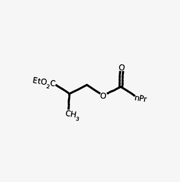 CCCC(=O)OCC(C)C(=O)OCC